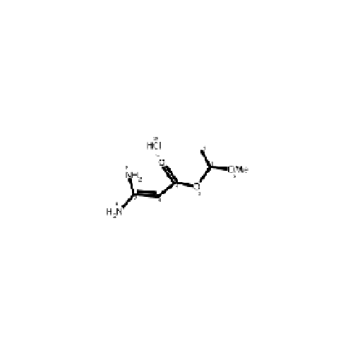 COC(C)OC(=O)C=C(N)N.Cl